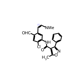 CN/C=C\c1cc(NC(=O)c2c(-c3ccccc3)noc2C)c(Cl)cc1C=O